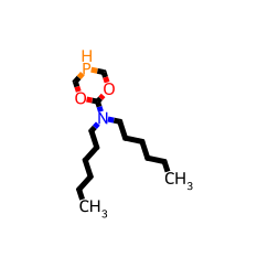 CCCCCCN(CCCCCC)C1OCPCO1